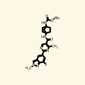 Cc1nc(-c2cc(F)c3nn(C)cc3c2)ncc1C(=O)NC12CCC(NC(=O)OC(C)(C)C)(CC1)C2